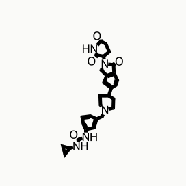 O=C1CCC(N2Cc3cc(C4CCN(Cc5cccc(NC(=O)NC6CC6)c5)CC4)ccc3C2=O)C(=O)N1